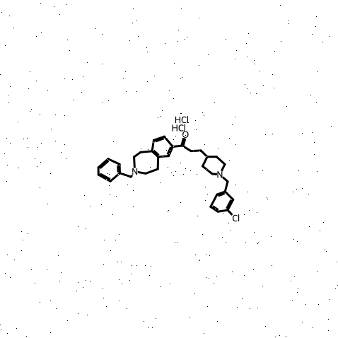 Cl.Cl.O=C(CCC1CCN(Cc2cccc(Cl)c2)CC1)c1ccc2c(c1)CCN(Cc1ccccc1)CC2